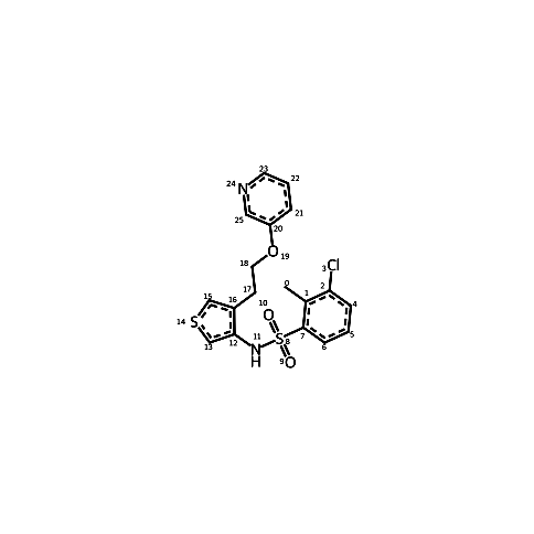 Cc1c(Cl)cccc1S(=O)(=O)Nc1cscc1CCOc1cccnc1